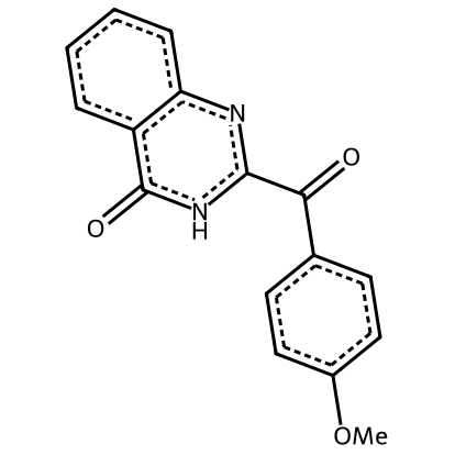 COc1ccc(C(=O)c2nc3ccccc3c(=O)[nH]2)cc1